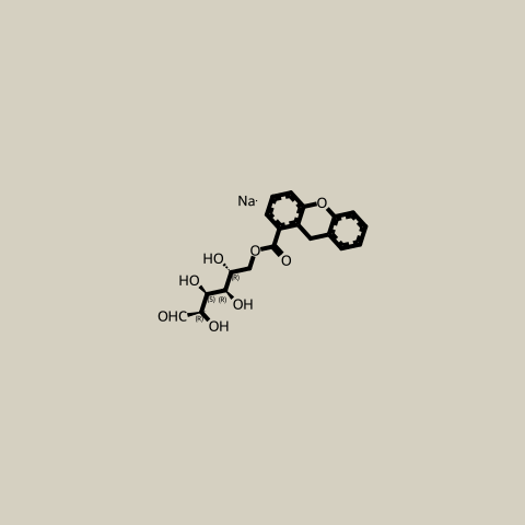 O=C[C@H](O)[C@@H](O)[C@H](O)[C@H](O)COC(=O)c1cccc2c1Cc1ccccc1O2.[Na]